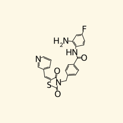 Nc1cc(F)ccc1NC(=O)c1ccc(CN2C(=O)SC(=Cc3cccnc3)C2=O)cc1